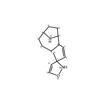 CC1(/C=C\C2CCCC3CCC2N3)C=CON1